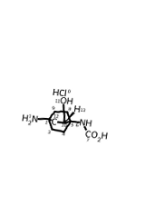 Cl.NC12CCC(NC(=O)O)(CC1)[C@@H](O)C2